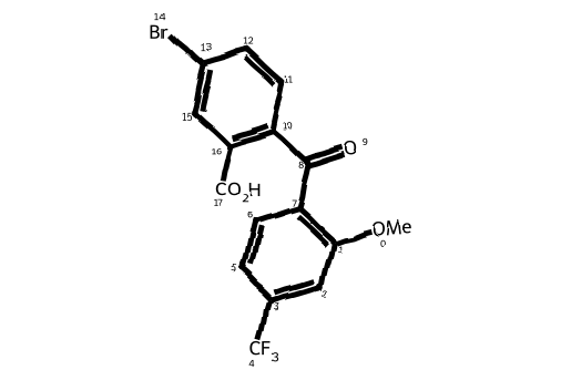 COc1cc(C(F)(F)F)ccc1C(=O)c1ccc(Br)cc1C(=O)O